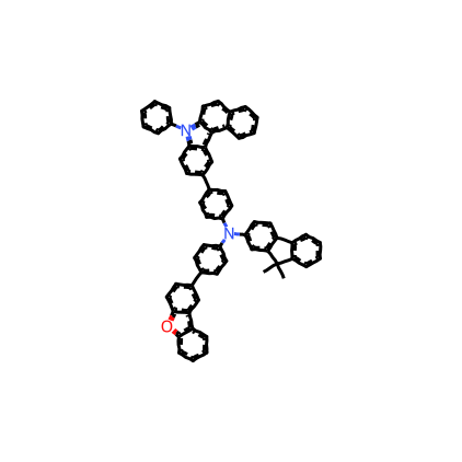 CC1(C)c2ccccc2-c2ccc(N(c3ccc(-c4ccc5oc6ccccc6c5c4)cc3)c3ccc(-c4ccc5c(c4)c4c6ccccc6ccc4n5-c4ccccc4)cc3)cc21